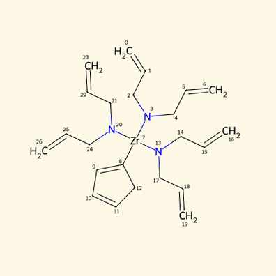 C=CC[N](CC=C)[Zr]([C]1=CC=CC1)([N](CC=C)CC=C)[N](CC=C)CC=C